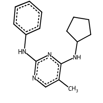 Cc1cnc(Nc2ccccc2)nc1NC1CCCC1